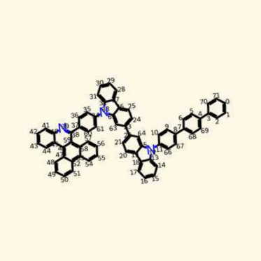 c1ccc(-c2ccc(-c3ccc(-n4c5ccccc5c5ccc(-c6ccc7c8ccccc8n(-c8ccc(-c9nc%10ccccc%10c%10c%11ccccc%11c%11ccccc%11c9%10)cc8)c7c6)cc54)cc3)cc2)cc1